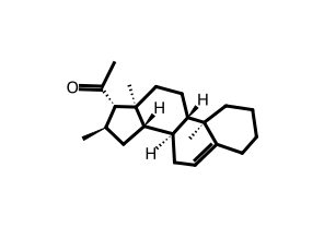 CC(=O)[C@H]1[C@H](C)C[C@H]2[C@@H]3CC=C4CCCC[C@]4(C)[C@H]3CC[C@@]21C